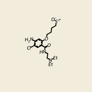 CCN(CC)CCNC(=O)c1cc(Cl)c(N)cc1OCCCC[S+](C)[O-]